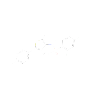 COP(=O)(c1ccc(Cl)cc1Cl)N(C)c1cc(-c2ccc(C)cc2)sc1C(=O)O